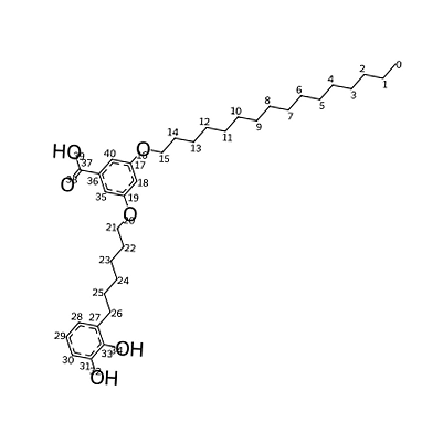 CCCCCCCCCCCCCCCCOc1cc(OCCCCCCc2cccc(O)c2O)cc(C(=O)O)c1